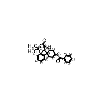 CC(C)(C)OC(NC=O)C1(c2ccccc2)CCC(OC(=O)c2ccccc2)CC1